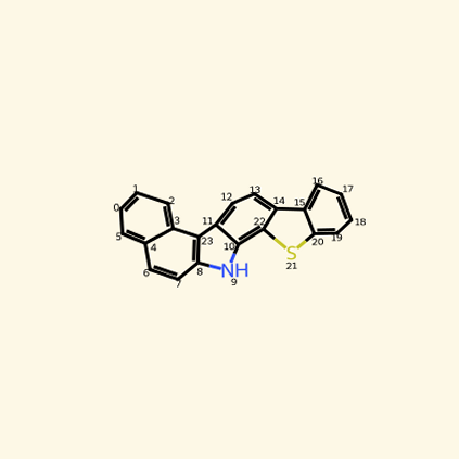 c1ccc2c(c1)ccc1[nH]c3c(ccc4c5ccccc5sc43)c12